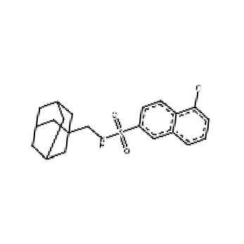 O=S(=O)(NCC12CC3CC(CC(C3)C1)C2)c1ccc2c(Cl)cccc2c1